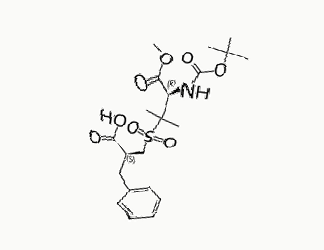 COC(=O)[C@@H](NC(=O)OC(C)(C)C)C(C)(C)S(=O)(=O)C[C@@H](Cc1ccccc1)C(=O)O